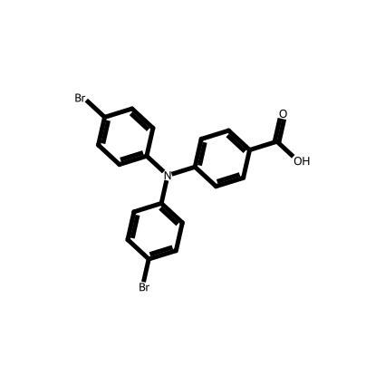 O=C(O)c1ccc(N(c2ccc(Br)cc2)c2ccc(Br)cc2)cc1